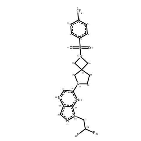 O=S(=O)(c1ccc(C(F)(F)F)nc1)N1CC2(CCN(c3cnc4cnn(CC(F)F)c4n3)C2)C1